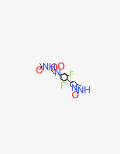 CC(=O)NC[C@H]1CN(c2cc(F)c(C3=CC4CNC(=O)N4C3)c(F)c2)C(=O)O1